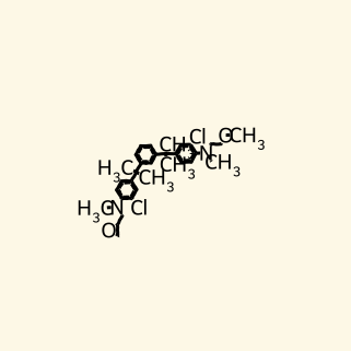 COCCN(C)c1ccc(C(C)(C)c2cccc(C(C)(C)c3ccc(N(C)CC4CO4)c(Cl)c3)c2)cc1Cl